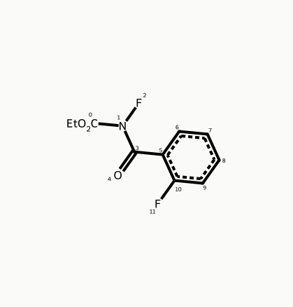 CCOC(=O)N(F)C(=O)c1ccccc1F